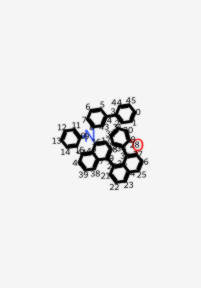 c1ccc(-c2cccc(N(c3ccccc3)c3ccc(-c4cccc5ccc6oc7ccccc7c6c45)c4ccccc34)c2)cc1